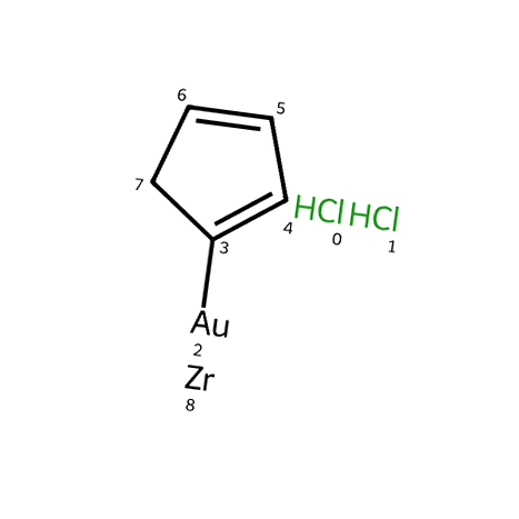 Cl.Cl.[Au][C]1=CC=CC1.[Zr]